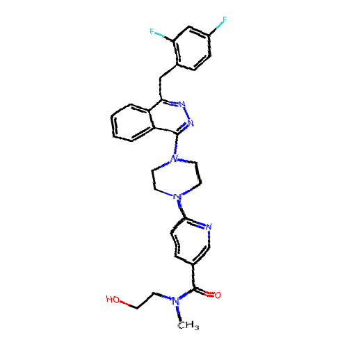 CN(CCO)C(=O)c1ccc(N2CCN(c3nnc(Cc4ccc(F)cc4F)c4ccccc34)CC2)nc1